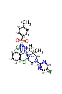 Cc1ccc(S(=O)(=O)N/N=C(\c2c(Cl)cccc2Cl)N2CCN(c3ncc(F)cn3)CC2(C)C)cc1